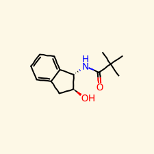 CC(C)(C)C(=O)N[C@H]1c2ccccc2C[C@@H]1O